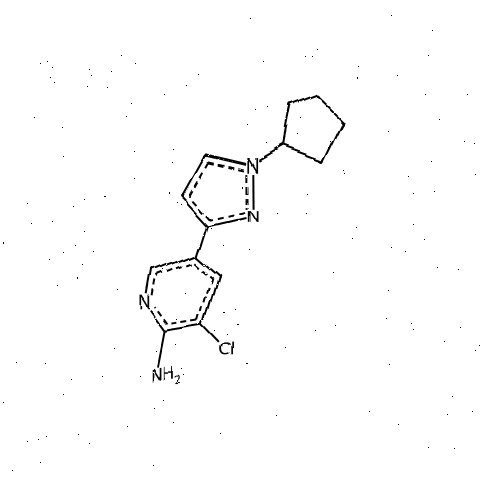 Nc1ncc(-c2ccn(C3CCCC3)n2)cc1Cl